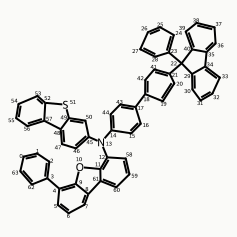 c1ccc(-c2cccc3c2oc2c(N(c4ccc(-c5ccc(C6(c7ccccc7)c7ccccc7-c7ccccc76)cc5)cc4)c4ccc5c(c4)sc4ccccc45)cccc23)cc1